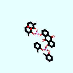 Cc1ccccc1OP(Oc1ccccc1C)Oc1cccc2c1C(=O)c1c(OP(Oc3ccccc3C)Oc3ccccc3C)cccc1C2=O